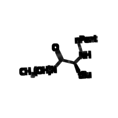 CCCCCN[C@H](C(=O)N(C)O)C(C)(C)C